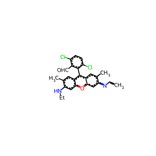 C=C/N=c1/cc2oc3cc(NCC)c(C)cc3c(-c3c(Cl)ccc(Cl)c3C=O)c-2cc1C